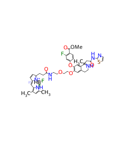 COC(=O)c1ccc(Oc2cc3c(cc2OCCOCCNC(=O)CCC2=[N+]([BH-](F)F)/C(=C\c4[nH]c(C)cc4C)C=C2)CCN[C@]3(C)CC(=O)Nc2nccs2)cc1F